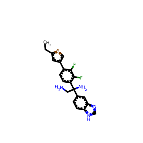 CCc1cc(-c2ccc(C(N)(CN)c3ccc4[nH]cnc4c3)c(F)c2F)cs1